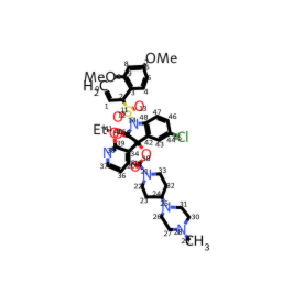 C=CC(c1ccc(OC)cc1OC)S(=O)(=O)N1C(=O)C(OC(=O)N2CCC(N3CCN(C)CC3)CC2)(c2cccnc2OCC)c2cc(Cl)ccc21